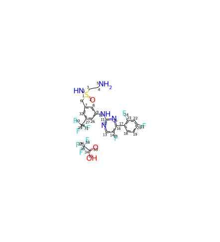 N=S(=O)(CCN)Cc1cc(Nc2ncc(F)c(-c3ccc(F)cc3F)n2)cc(C(F)(F)F)c1.O=C(O)C(F)(F)F